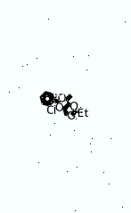 CC[C@H]1OC[C@@H](OCc2ccccc2Cl)[C@@H](C(C)O)O1